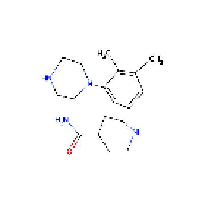 Cc1cccc(N2CCNCC2)c1C.NC(=O)C1CCNCC1